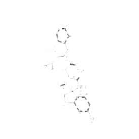 C[C@@H](C1CC1)N(Cc1ccccc1)C(=O)CN1C(=O)NC2(CCc3cc(Br)ccc32)C1=O